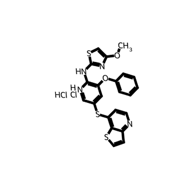 COc1csc(Nc2ncc(Sc3ccnc4ccsc34)cc2Oc2ccccc2)n1.Cl.Cl